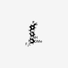 COc1cc(C(F)(F)F)nnc1NC1CCN(Cc2ccc(C(F)F)cc2)CC1